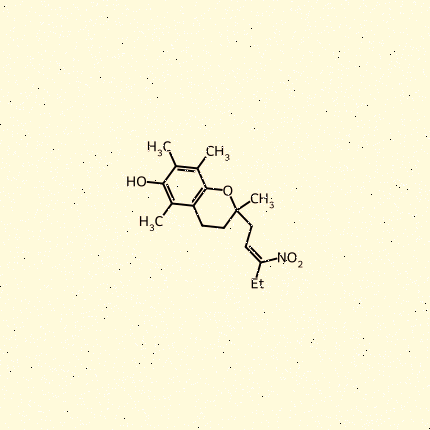 CC/C(=C/CC1(C)CCc2c(C)c(O)c(C)c(C)c2O1)[N+](=O)[O-]